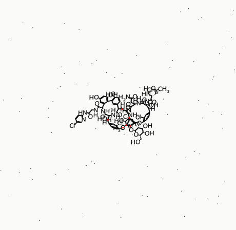 CN[C@H](CC(C)C)C(=O)N[C@H]1C(=O)N[C@@H](CC(N)=O)C(=O)NC2C(=O)N[C@H]3C(=O)N[C@H](C(=O)NC(C(=O)NCC(=O)Nc4ccc(Cl)cn4)c4cc(O)cc(O)c4-c4cc3ccc4O)[C@H](O)c3ccc(c(Cl)c3)Oc3cc2cc(c3O[C@@H]2O[C@H](CO)[C@@H](O)[C@H](O)[C@H]2OC2C[C@](C)(N)[C@H](O)[C@H](C)O2)Oc2ccc(cc2Cl)[C@H]1O